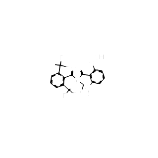 CCP(=O)(C(=O)c1c(OC)cccc1OC)C(=O)c1c(C(F)(F)F)cccc1C(F)(F)F